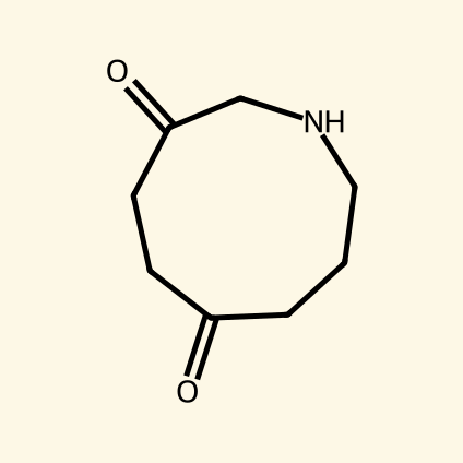 O=C1CCCNCC(=O)CC1